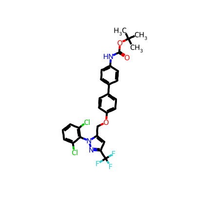 CC(C)(C)OC(=O)Nc1ccc(-c2ccc(OCc3cc(C(F)(F)F)nn3-c3c(Cl)cccc3Cl)cc2)cc1